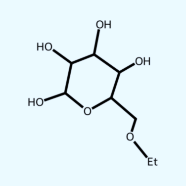 CCOCC1OC(O)C(O)C(O)C1O